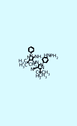 CC(C)(C)c1nn(-c2ccc(NP)cc2)c(/N=N/c2c(C(C)(C)C)nn(-c3ccccc3)c2N)c1C#N